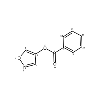 O=C(Oc1cnoc1)c1ccccc1